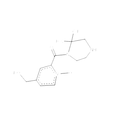 CC1(C)CNCCN1C(=O)c1cc(CO)cc[n+]1[O-]